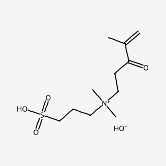 C=C(C)C(=O)CC[N+](C)(C)CCCS(=O)(=O)O.[OH-]